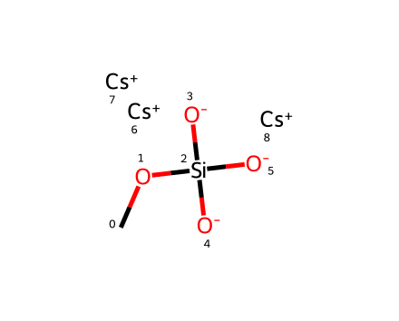 CO[Si]([O-])([O-])[O-].[Cs+].[Cs+].[Cs+]